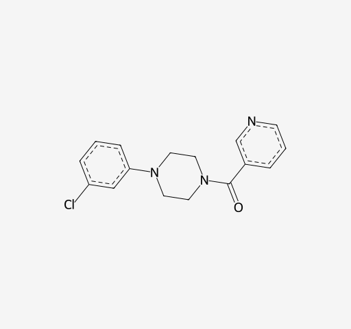 O=C(c1cccnc1)N1CCN(c2cccc(Cl)c2)CC1